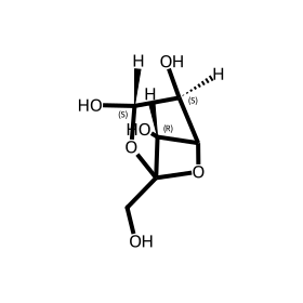 OCC12OC([C@H]1O)[C@H](O)[C@@H](O)O2